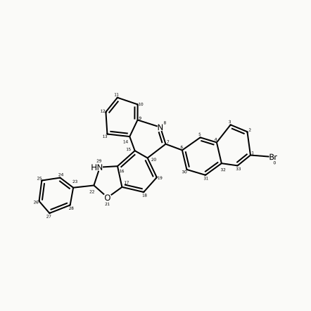 Brc1ccc2cc(-c3nc4ccccc4c4c5c(ccc34)OC(c3ccccc3)N5)ccc2c1